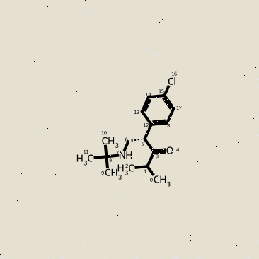 CC(C)C(=O)[C@H](CNC(C)(C)C)c1ccc(Cl)cc1